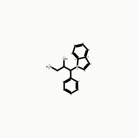 NCC(O)C(c1ccccc1)n1ccc2ccccc21